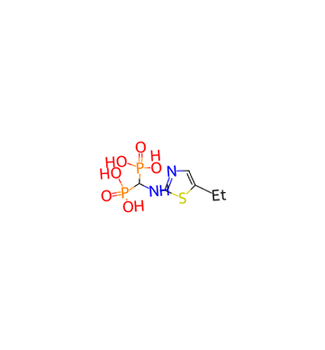 CCc1cnc(NC(P(=O)(O)O)P(=O)(O)O)s1